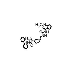 Cc1cc(NC(=O)NCCN2CCC(N(C)C(=O)Nc3ccccc3-c3ccccc3)C2)c2ccccc2n1